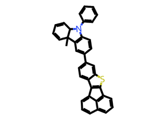 CC12C=CC=CC1N(c1ccccc1)c1ccc(-c3ccc4c5c(sc4c3)-c3cccc4cccc-5c34)cc12